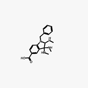 CNC1N(Cc2ccccc2)c2ccc(C(=O)O)cc2C1(NC)NC